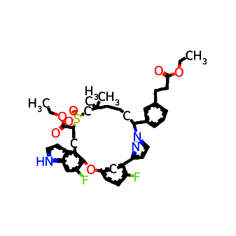 CCOC(=O)CCc1cccc(C2CCCC(C)(C)CS(=O)(=O)C(C(=O)OCC)Cc3c(c(F)cc4[nH]ccc34)Oc3ccc(F)c(c3)-c3ccn2n3)c1